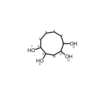 OC1CCCCC(O)C(O)CC1O